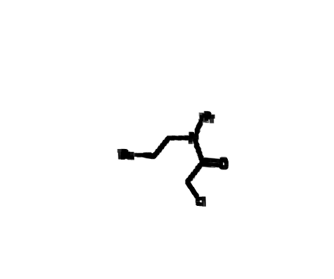 CCCN(CC[C@H](C)CC)C(=O)CCl